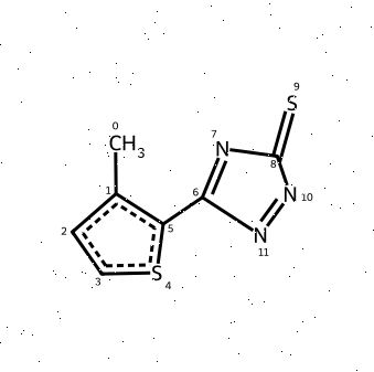 Cc1ccsc1C1=NC(=S)N=N1